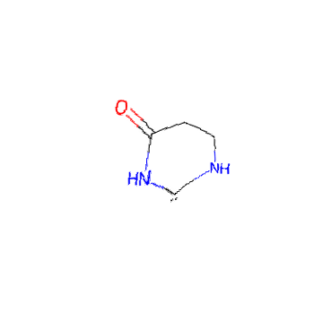 O=C1CCN[C]N1